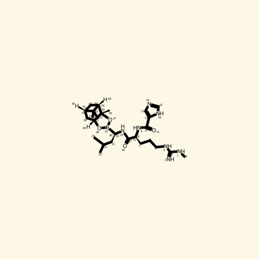 CNC(=N)NCCC[C@H](NC(=O)c1cnc[nH]1)C(=O)N[C@@H](CC(C)C)B1O[C@@H]2C[C@@H]3C[C@@H](C3(C)C)[C@]2(C)O1